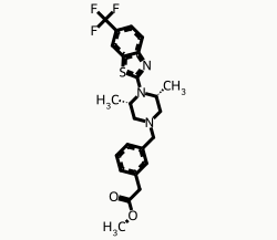 COC(=O)Cc1cccc(CN2C[C@@H](C)N(c3nc4ccc(C(F)(F)F)cc4s3)[C@@H](C)C2)c1